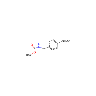 CC(=O)Nc1ccc(CNC(=O)OC(C)(C)C)cc1